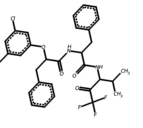 CC(C)C(NC(=O)C(Cc1ccccc1)NC(=O)C(Cc1ccccc1)Oc1cc(Cl)cc(Cl)c1)C(=O)C(F)(F)F